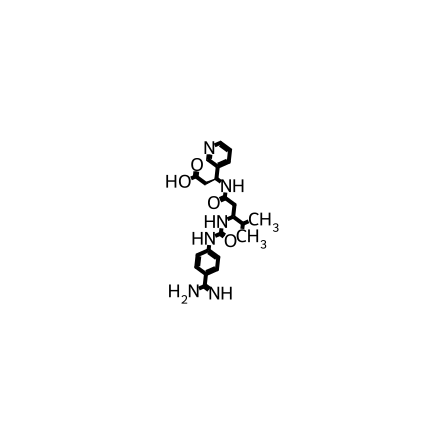 CC(C)C(CC(=O)N[C@@H](CC(=O)O)c1cccnc1)NC(=O)Nc1ccc(C(=N)N)cc1